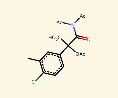 CC(=O)OC(C(=O)O)(C(=O)N(C(C)=O)C(C)=O)c1ccc(Cl)c(C)c1